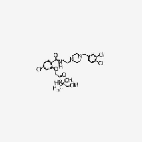 CC(C)(CO)NC(=O)COc1cc(Cl)ccc1C(=O)NCCN1CCN(Cc2ccc(Cl)c(Cl)c2)CC1